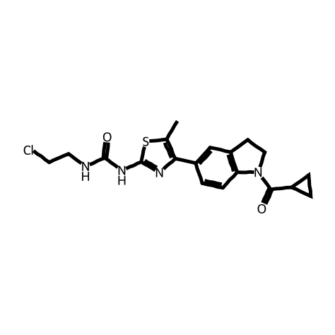 Cc1sc(NC(=O)NCCCl)nc1-c1ccc2c(c1)CCN2C(=O)C1CC1